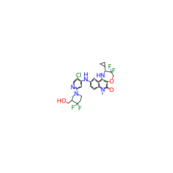 Cn1c(=O)c2c(c3cc(Nc4cc(N5CCC(F)(F)C(CO)C5)ncc4Cl)ccc31)N[C@@H](C1CC1)C(F)(F)CO2